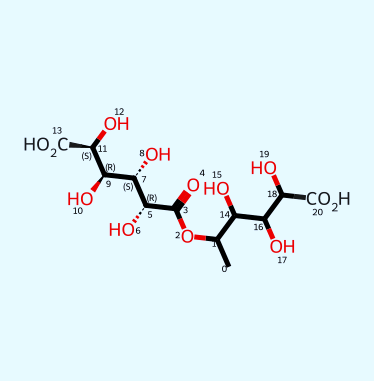 CC(OC(=O)[C@H](O)[C@@H](O)[C@@H](O)[C@H](O)C(=O)O)C(O)C(O)C(O)C(=O)O